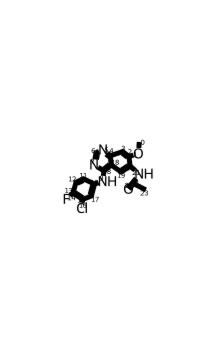 COc1cc2ncnc(Nc3ccc(F)c(Cl)c3)c2cc1NC(C)=O